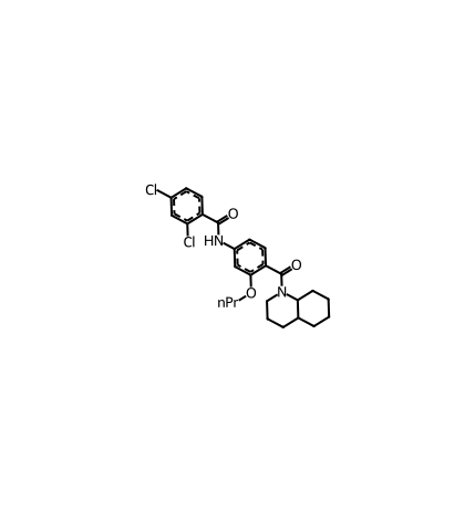 CCCOc1cc(NC(=O)c2ccc(Cl)cc2Cl)ccc1C(=O)N1CCCC2CCCCC21